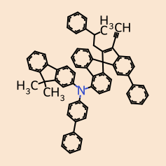 C#CC1=C(CC(C)c2ccccc2)C2(c3cc(-c4ccccc4)ccc31)c1ccccc1-c1c(N(c3ccc(-c4ccccc4)cc3)c3ccc4c(c3)C(C)(C)c3ccccc3-4)cccc12